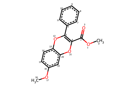 COC(=O)C1=C(c2ccccc2)Oc2ccc(OC)cc2O1